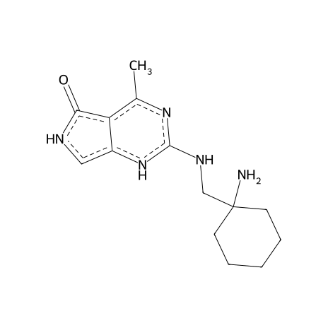 Cc1nc(NCC2(N)CCCCC2)[nH]c2c[nH]c(=O)c1-2